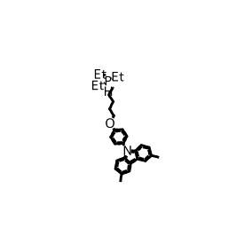 CC[PH](CC)(CC)CCCCCOc1ccc(-n2c3ccc(C)cc3c3cc(C)ccc32)cc1